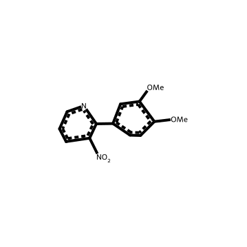 COc1ccc(-c2ncccc2[N+](=O)[O-])cc1OC